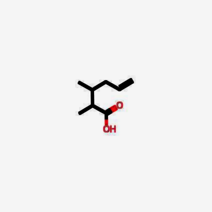 C=CCC(C)C(C)C(=O)O